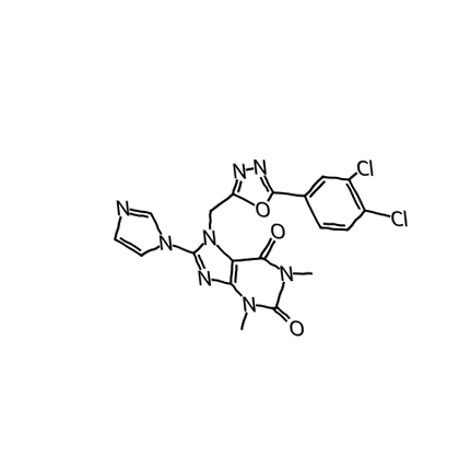 Cn1c(=O)c2c(nc(-n3ccnc3)n2Cc2nnc(-c3ccc(Cl)c(Cl)c3)o2)n(C)c1=O